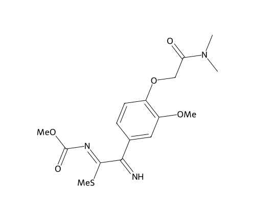 COC(=O)N=C(SC)C(=N)c1ccc(OCC(=O)N(C)C)c(OC)c1